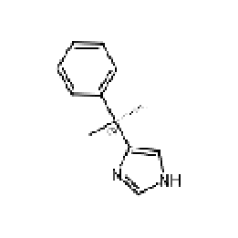 [CH2][C@](C)(c1ccccc1)c1c[nH]cn1